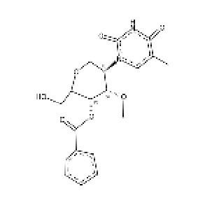 CO[C@@H]1[C@H](OC(=O)c2ccccc2)C(CO)OC[C@H]1n1cc(C)c(=O)[nH]c1=O